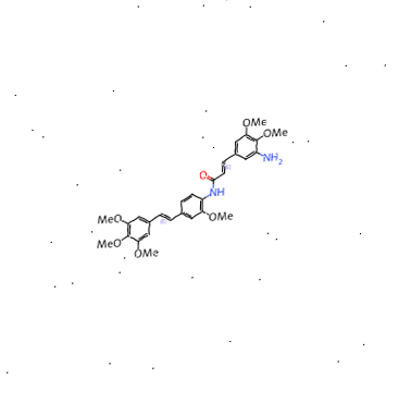 COc1cc(/C=C/c2cc(OC)c(OC)c(OC)c2)ccc1NC(=O)/C=C/c1cc(N)c(OC)c(OC)c1